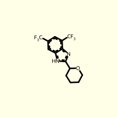 FC(F)(F)c1cc(C(F)(F)F)c2nc(C3CCCCO3)[nH]c2c1